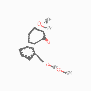 CC(C)[O-].CC(C)[O-].CC(C)[O-].Cc1ccccc1.O=C1CCCCC1.[Al+3]